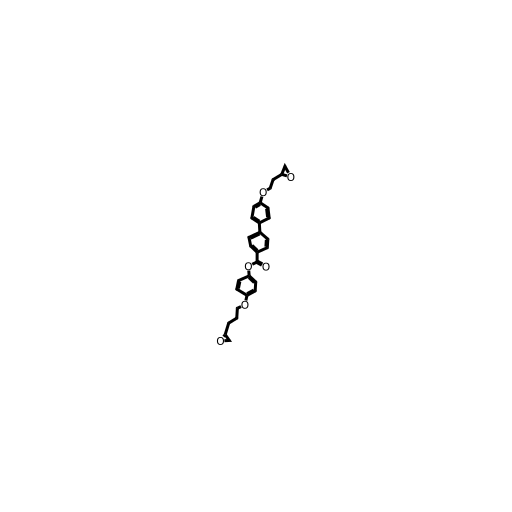 O=C(Oc1ccc(OCCCC2CO2)cc1)c1ccc(-c2ccc(OCCC3CO3)cc2)cc1